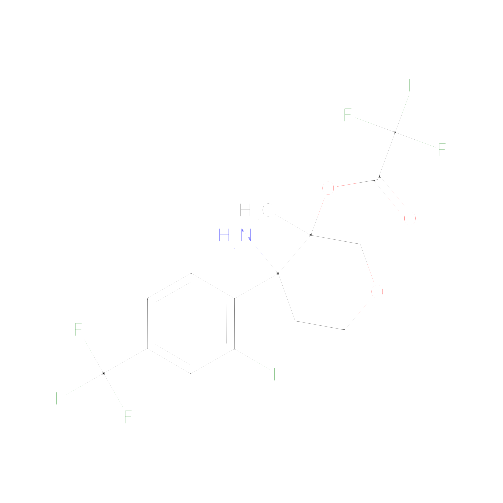 CC1(OC(=O)C(F)(F)F)COCCC1(N)c1ccc(C(F)(F)F)cc1F